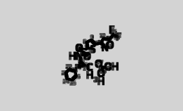 C[C@H]1[C@H](NS(=O)(=O)c2ccc(-c3cc(C(F)F)on3)s2)[C@H]1c1ccccc1.O=C(O)O